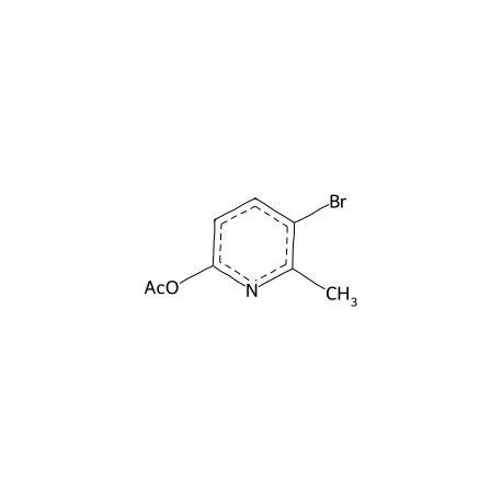 CC(=O)Oc1ccc(Br)c(C)n1